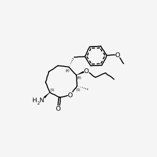 CCCO[C@@H]1[C@@H](Cc2ccc(OC)cc2)CCC[C@H](N)C(=O)O[C@H]1C